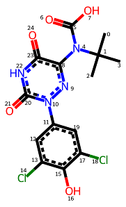 CC(C)(C)N(C(=O)O)c1nn(-c2cc(Cl)c(O)c(Cl)c2)c(=O)[nH]c1=O